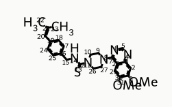 COc1cc2ncnc(N3CCN(C(=S)NCc4ccc(C=C(C)C)cc4)CC3)c2cc1OC